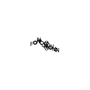 COCC12Cc3cnn(-c4ccc(F)cc4)c3C=C1CCN(S(=O)(=O)c1ccc(N3CCN(C)CC3)nc1)C2